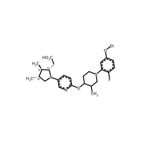 CCOc1ccc(F)c(N2CCC(Oc3ccc(N4C[C@H](C)[C@@H](C)[C@@H]4CC(=O)O)cn3)C(C)C2)c1